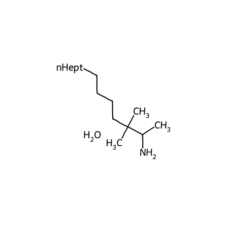 CCCCCCCCCCCC(C)(C)C(C)N.O